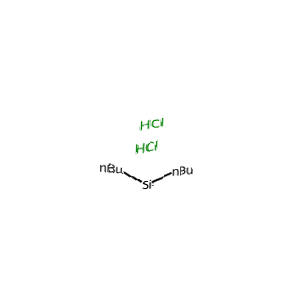 CCCC[Si]CCCC.Cl.Cl